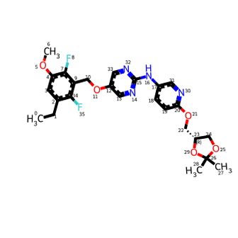 CCc1cc(OC)c(F)c(COc2cnc(Nc3ccc(OC[C@@H]4COC(C)(C)O4)nc3)nc2)c1F